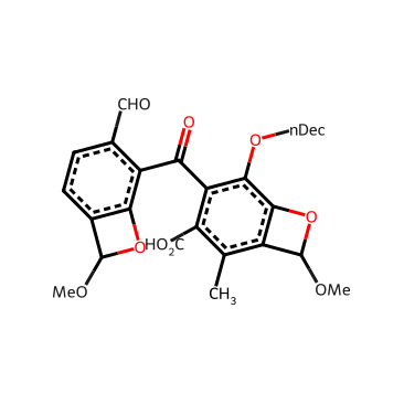 CCCCCCCCCCOc1c2c(c(C)c(C(=O)O)c1C(=O)c1c(C=O)ccc3c1OC3OC)C(OC)O2